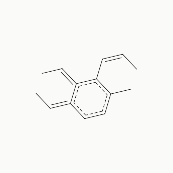 C/C=C\c1c(C)ccc(=C/C)/c1=C\C